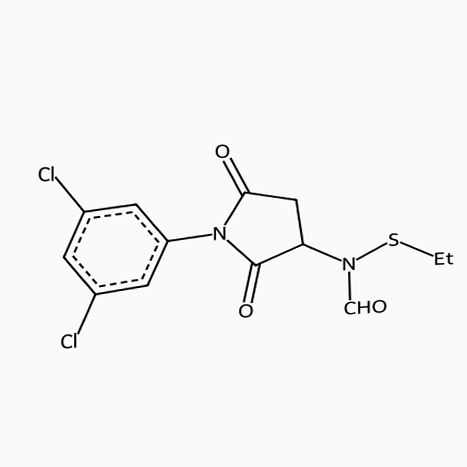 CCSN(C=O)C1CC(=O)N(c2cc(Cl)cc(Cl)c2)C1=O